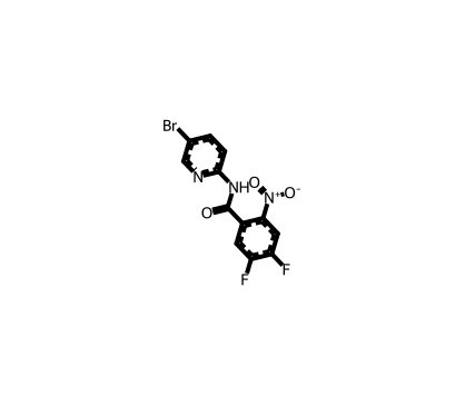 O=C(Nc1ccc(Br)cn1)c1cc(F)c(F)cc1[N+](=O)[O-]